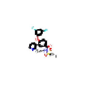 COc1ncccc1-c1cc(C(=O)NS(C)(=O)=O)ccc1Oc1cc(F)cc(F)c1